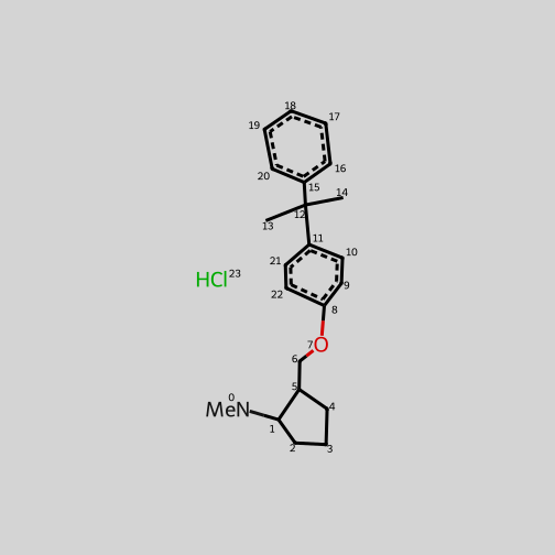 CNC1CCCC1COc1ccc(C(C)(C)c2ccccc2)cc1.Cl